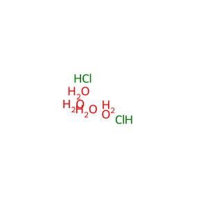 Cl.Cl.O.O.O.O